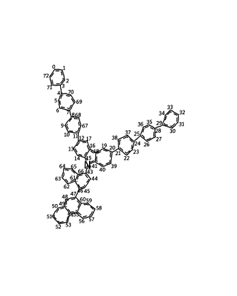 c1ccc(-c2ccc(-c3ccc(-c4ccc5c(c4)c4cc(-c6ccc(-c7ccc(-c8ccccc8)cc7)cc6)ccc4n5-c4ccc(-c5cc6ccccc6c6ccccc56)c5ccccc45)cc3)cc2)cc1